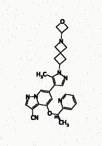 Cc1c(-c2cc(O[C@H](C)c3ccccn3)c3c(C#N)cnn3c2)cnn1C1CC2(C1)CN(C1COC1)C2